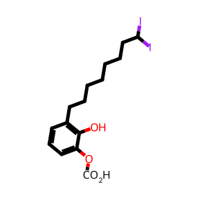 O=C(O)Oc1cccc(CCCCCCCC(I)I)c1O